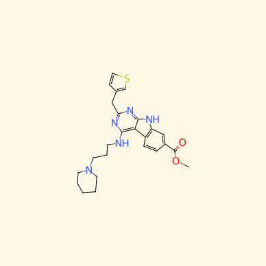 COC(=O)c1ccc2c(c1)[nH]c1nc(Cc3ccsc3)nc(NCCCN3CCCCC3)c12